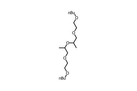 CCCCOCCOCC(C)OC(C)COCCOCCCC